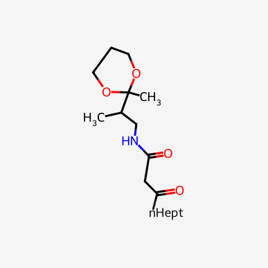 CCCCCCCC(=O)CC(=O)NCC(C)C1(C)OCCCO1